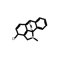 CN1CC2=C3C(=C4CCC31c1ccccc14)C=CC2Cl